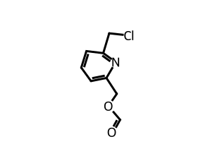 O=COCc1cccc(CCl)n1